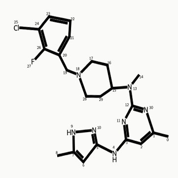 Cc1cc(Nc2cc(C)[nH]n2)nc(N(C)C2CCN(Cc3cccc(Cl)c3F)CC2)n1